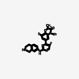 CC1Oc2c(F)cc(-c3nc(Nc4ccc5c(c4)CNCC5)ncc3F)cc2N(C(C)C)C1=O